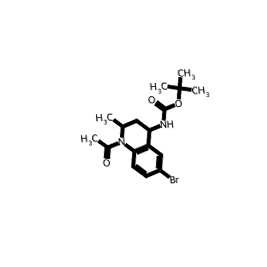 CC(=O)N1c2ccc(Br)cc2C(NC(=O)OC(C)(C)C)CC1C